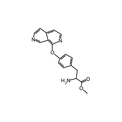 COC(=O)C(N)Cc1ccc(Oc2nccc3ccncc23)cc1